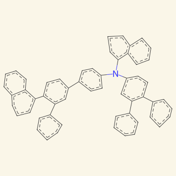 c1ccc(-c2ccc(N(c3ccc(-c4ccc(-c5cccc6ccccc56)c(-c5ccccc5)c4)cc3)c3cccc4ccccc34)cc2-c2ccccc2)cc1